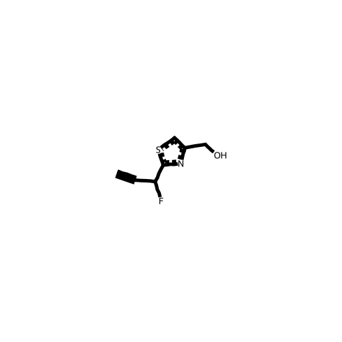 C#CC(F)c1nc(CO)cs1